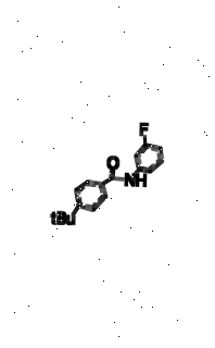 CC(C)(C)c1ccc(C(=O)Nc2cccc(F)c2)cc1